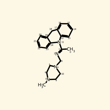 C/C(=N\CN1CCN(C)CC1)N1c2ccccc2Cc2ccccc21